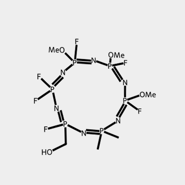 COP1(F)=NP(C)(C)=NP(F)(CO)=NP(F)(F)=NP(F)(OC)=NP(F)(OC)=N1